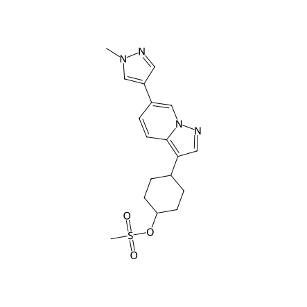 Cn1cc(-c2ccc3c(C4CCC(OS(C)(=O)=O)CC4)cnn3c2)cn1